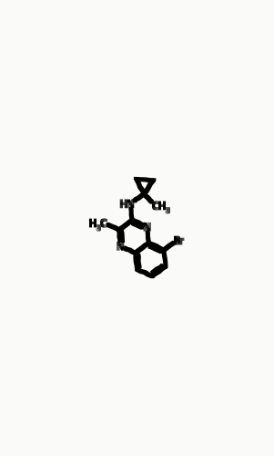 Cc1nc2cccc(Br)c2nc1NC1(C)CC1